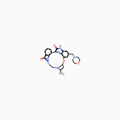 C[C@@H]1CC2CN1CCn1[nH]c3c(cccc3c1=O)-c1nc3c(cc(CN4CCOCC4)cc3[nH]c1=O)O2